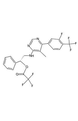 Cc1c(NC[C@H](OC(=O)C(F)(F)F)c2ccccc2)ncnc1-c1ccc(C(F)(F)F)c(F)c1